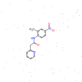 Cc1cc([N+](=O)[O-])ccc1NC(=O)Cc1ccccn1